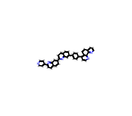 c1cnc2c(c1)ccc1c(-c3ccc(-c4ccc5ccc(-c6ccc7ccc(-c8ccncc8)nc7c6)nc5c4)cc3)ccnc12